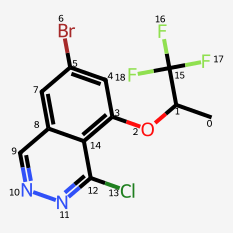 CC(Oc1cc(Br)cc2cnnc(Cl)c12)C(F)(F)F